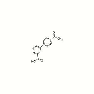 CC(=O)c1ccc(-c2cccc(C(=O)O)c2)cc1